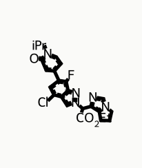 CCOC(=O)C(c1ncn2c1CCC2)n1cc2c(Cl)cc(-c3ccn(C(C)C)c(=O)c3)c(F)c2n1